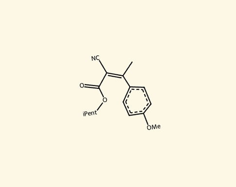 CCCC(C)OC(=O)C(C#N)=C(C)c1ccc(OC)cc1